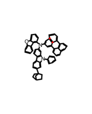 c1ccc(-c2cccc3cccc(-c4cccc(N(c5ccc6c7ccc(C89CCC(CC8)C9)cc7n(-c7ccccc7)c6c5)c5cccc6oc7ccccc7c56)c4)c23)cc1